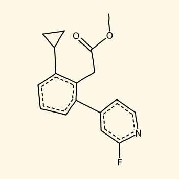 COC(=O)Cc1c(-c2ccnc(F)c2)cccc1C1CC1